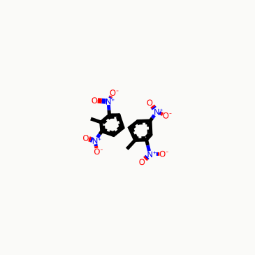 Cc1c([N+](=O)[O-])cccc1[N+](=O)[O-].Cc1ccc([N+](=O)[O-])cc1[N+](=O)[O-]